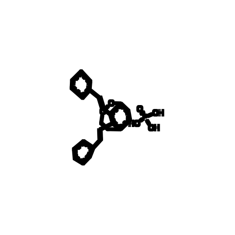 C(=Cc1c2ccc(c1C=Cc1ccccc1)OOCC2)c1ccccc1.O=P(O)(O)O